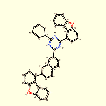 C1=CCC(c2nc(-c3ccc4ccc(-c5cccc6oc7ccccc7c56)cc4c3)nc(-c3cccc4oc5ccccc5c34)n2)C=C1